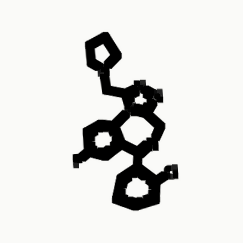 Fc1ccc2c(c1)C(c1ccccc1Cl)=NCc1nnc(CN3CCCC3)n1-2